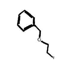 FCCOCc1cc[c]cc1